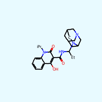 CCC(NC(=O)c1c(O)c2ccccc2n(C(C)C)c1=O)N1CC2CC3CC1CN(C3)C2